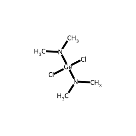 C[N](C)[Ge]([Cl])([Cl])[N](C)C